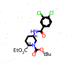 CCOC(=O)[C@@H]1CC[C@@H](NC(=O)c2ccc(Cl)c(Cl)c2)CN1C(=O)OC(C)(C)C